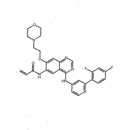 C=CC(=O)Nc1cc2c(Nc3ccnc(-c4ccc(F)cc4F)c3)ncnc2cc1OCCN1CCOCC1